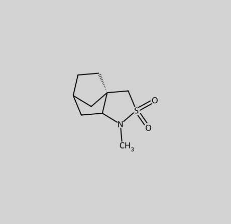 CN1C2CC3CC[C@]2(C3)CS1(=O)=O